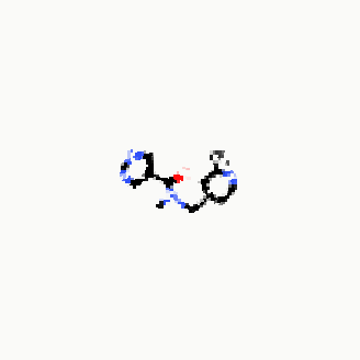 CN(Cc1ccnc(C(F)(F)F)c1)C(=O)c1cncnc1